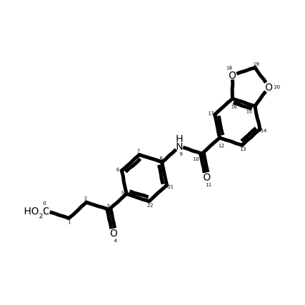 O=C(O)CCC(=O)c1ccc(NC(=O)c2ccc3c(c2)OCO3)cc1